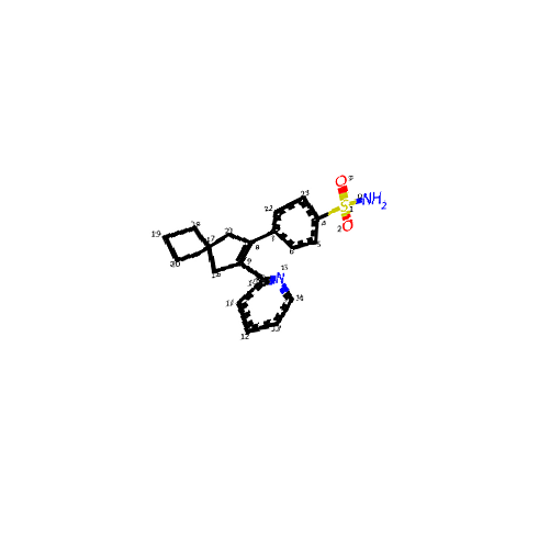 NS(=O)(=O)c1ccc(C2=C(c3ccccn3)CC3(CCC3)C2)cc1